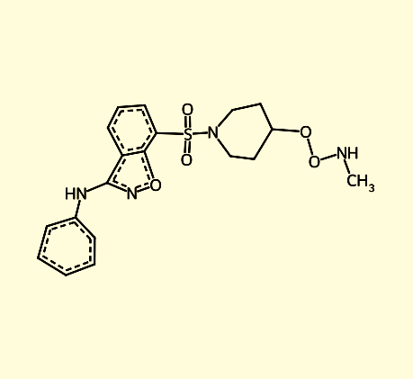 CNOOC1CCN(S(=O)(=O)c2cccc3c(Nc4ccccc4)noc23)CC1